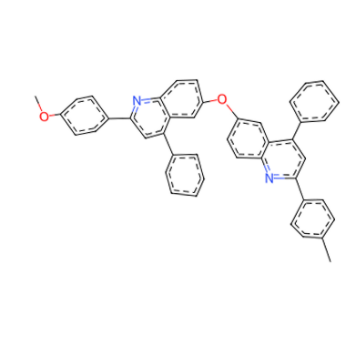 COc1ccc(-c2cc(-c3ccccc3)c3cc(Oc4ccc5nc(-c6ccc(C)cc6)cc(-c6ccccc6)c5c4)ccc3n2)cc1